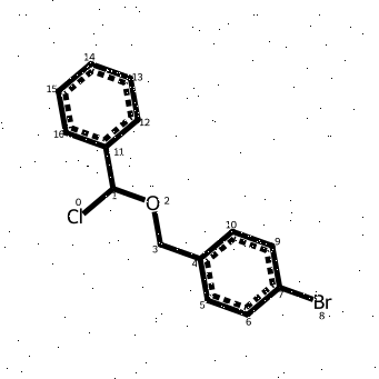 ClC(OCc1ccc(Br)cc1)c1ccccc1